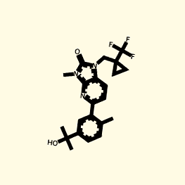 Cc1ccc(C(C)(C)O)cc1-c1ccc2c(n1)n(C)c(=O)n2CC1(C(F)(F)F)CC1